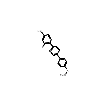 CCCCCCCCOc1ccc(-c2ccc(-c3ccc(CCCC)cc3F)nc2)cc1